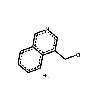 Cl.ClCc1cncc2ccccc12